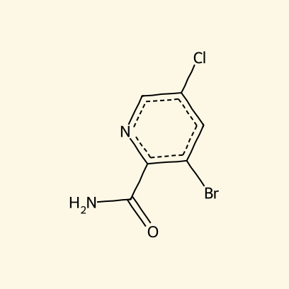 NC(=O)c1ncc(Cl)cc1Br